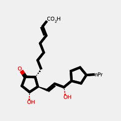 CCCC1CCC([C@H](O)/C=C/[C@H]2[C@H](O)CC(=O)[C@@H]2CCCC/C=C/C(=O)O)C1